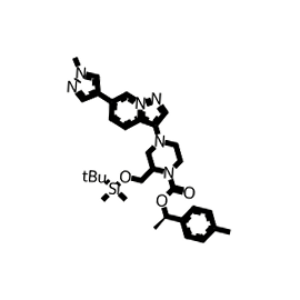 Cc1ccc([C@@H](C)OC(=O)N2CCN(c3cnn4cc(-c5cnn(C)c5)ccc34)CC2CO[Si](C)(C)C(C)(C)C)cc1